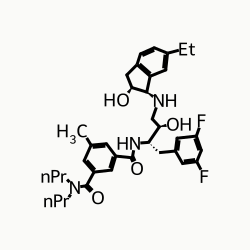 CCCN(CCC)C(=O)c1cc(C)cc(C(=O)N[C@@H](Cc2cc(F)cc(F)c2)[C@H](O)CN[C@@H]2c3cc(CC)ccc3C[C@@H]2O)c1